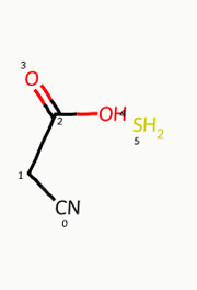 N#CCC(=O)O.S